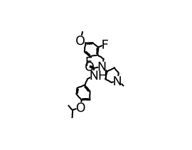 COc1cc(F)c(CN(C(=O)NCc2ccc(OC(C)C)cc2)C2CCN(C)CC2)c(F)c1